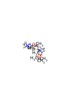 CC(C)(C)OCC1CCC[N+]1(C)CCC(C)(C)OCC[N+]1(C)CCC1